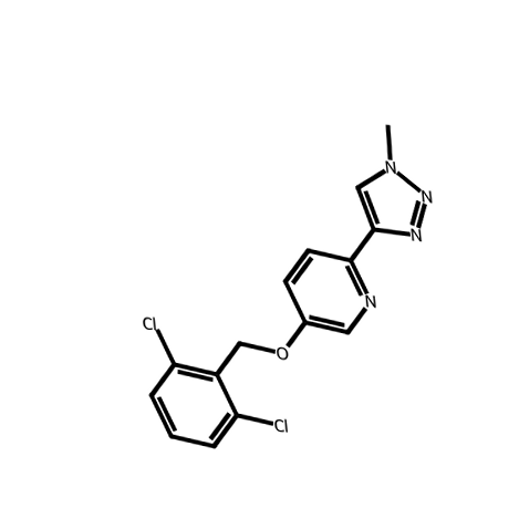 Cn1cc(-c2ccc(OCc3c(Cl)cccc3Cl)cn2)nn1